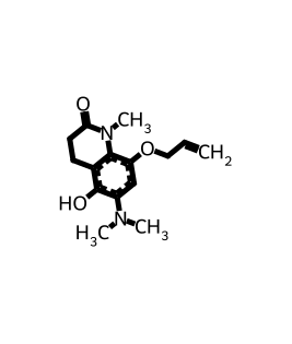 C=CCOc1cc(N(C)C)c(O)c2c1N(C)C(=O)CC2